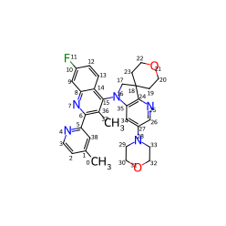 Cc1ccnc(-c2nc3cc(F)ccc3c(N3CC4(CCOCC4)c4ncc(N5CCOCC5)cc43)c2C)c1